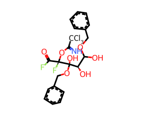 N=C(O[C@@](F)(C(=O)F)[C@@](O)(OCc1ccccc1)[C@H](O)C(O)OCc1ccccc1)C(Cl)(Cl)Cl